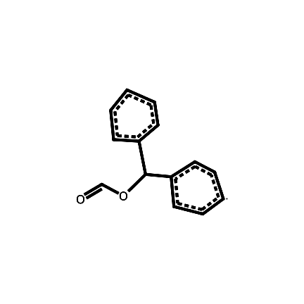 O=COC(c1cc[c]cc1)c1ccccc1